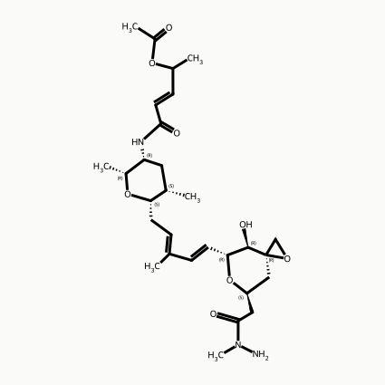 CC(=O)OC(C)C=CC(=O)N[C@@H]1C[C@H](C)[C@H](CC=C(C)C=C[C@H]2O[C@H](CC(=O)N(C)N)C[C@@]3(CO3)[C@@H]2O)O[C@@H]1C